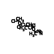 C[C@H](CCl)COc1ccc(C(C)(C)c2ccc(OC[C@H](C)Cn3ccnc3)c(Cl)c2)cc1Cl